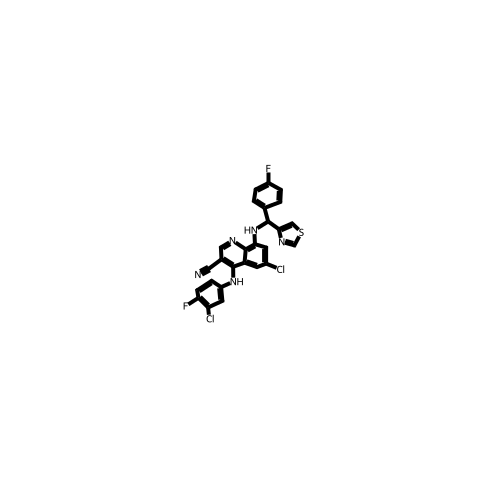 N#Cc1cnc2c(NC(c3ccc(F)cc3)c3cscn3)cc(Cl)cc2c1Nc1ccc(F)c(Cl)c1